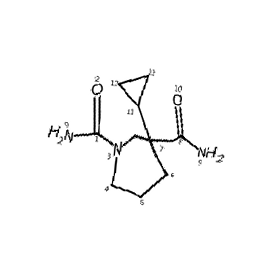 NC(=O)N1CCCC1(C(N)=O)C1CC1